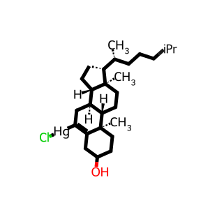 CC(C)CCC[C@@H](C)[C@H]1CC[C@H]2[C@@H]3C[C]([Hg][Cl])=C4CC(O)CC[C@]4(C)[C@H]3CC[C@]12C